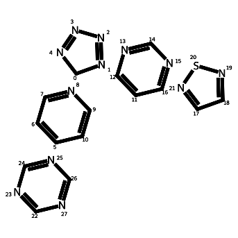 C1N=NN=N1.c1ccncc1.c1cncnc1.c1cnsn1.c1ncncn1